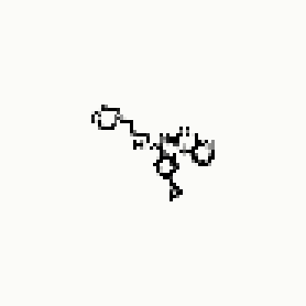 Cc1ncccc1-n1c(=O)nc(NCCCN2CCOCC2)c2ccc(C3CC3)cc21